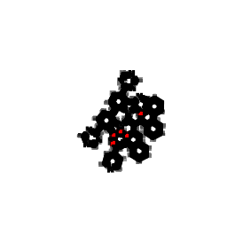 c1ccc2c(c1)cc(C(c1cc3ccccc3c3ccccc13)=c1n3c4nccnc4c4c(-c5ncncn5)ccc(c5ccc(-c6ncncn6)c6c7nc(-c8ccncc8)cnc7n1c56)c43)c1ccccc12